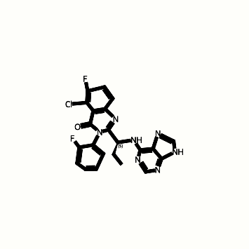 CC[C@H](Nc1ncnc2[nH]cnc12)c1nc2ccc(F)c(Cl)c2c(=O)n1-c1ccccc1F